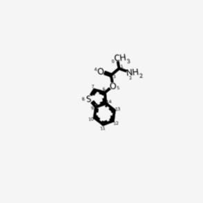 CC(N)C(=O)Oc1csc2ccccc12